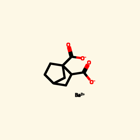 O=C([O-])C1CC2CCC1(C(=O)[O-])C2.[Ba+2]